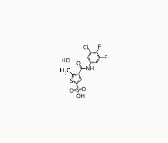 Cc1sc(S(=O)(=O)O)cc1C(=O)Nc1cc(F)c(F)c(Cl)c1.Cl